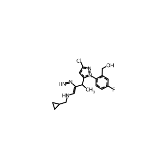 CC(/C(=C/NCC1CC1)N=N)c1cc(Cl)nn1-c1ccc(F)cc1CO